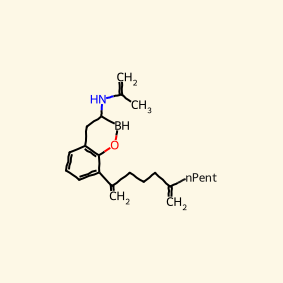 C=C(CCCCC)CCCC(=C)c1cccc2c1OBC(NC(=C)C)C2